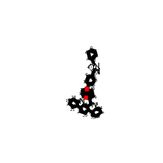 c1ccc(-c2nnc(-c3ccc(-c4ccc(-n5c6ccccc6c6ccc7c8ccccc8nc(-c8ccccc8)c7c65)cc4)cc3)o2)cc1